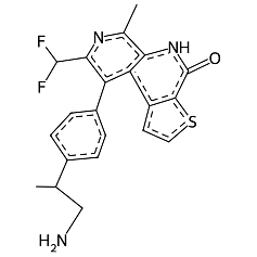 Cc1nc(C(F)F)c(-c2ccc(C(C)CN)cc2)c2c1[nH]c(=O)c1sccc12